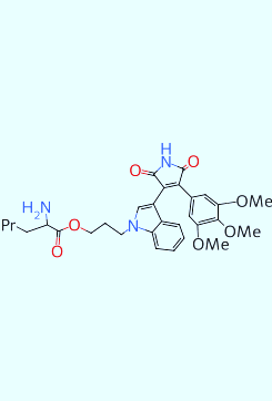 COc1cc(C2=C(c3cn(CCCOC(=O)C(N)CC(C)C)c4ccccc34)C(=O)NC2=O)cc(OC)c1OC